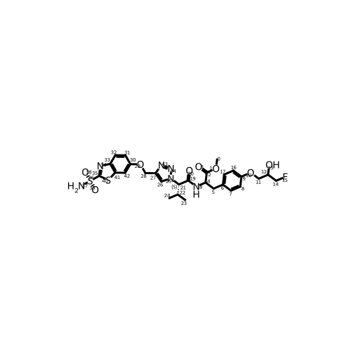 COC(=O)C(Cc1ccc(OCC(O)CF)cc1)NC(=O)[C@H](C(C)C)n1cc(COc2ccc3nc(S(N)(=O)=O)sc3c2)nn1